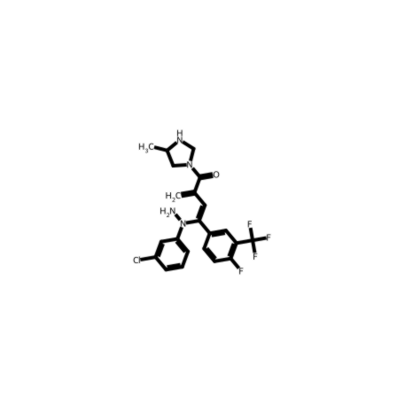 C=C(/C=C(/c1ccc(F)c(C(F)(F)F)c1)N(N)c1cccc(Cl)c1)C(=O)N1CNC(C)C1